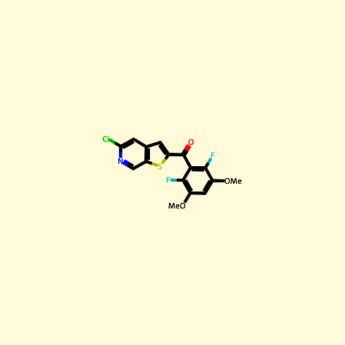 COc1cc(OC)c(F)c(C(=O)c2cc3cc(Cl)ncc3s2)c1F